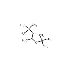 CC(O[Si](C)(C)C)S[Si](C)(C)C